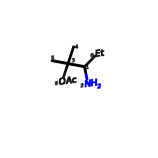 CCC(N)C(C)(C)OC(C)=O